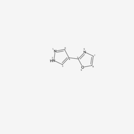 [c]1n[nH]cc1-c1ncco1